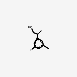 Cc1cc(F)cc([C@H](C)CO)c1